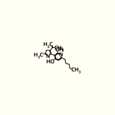 C=C(C)C1=C(c2c(O)cc(CCCCC)nc2O)N=C(C)C1